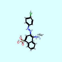 Nc1c(N=Nc2ccc(Br)cc2)cc(S(=O)(=O)[O-])c2ccccc12.[Na+]